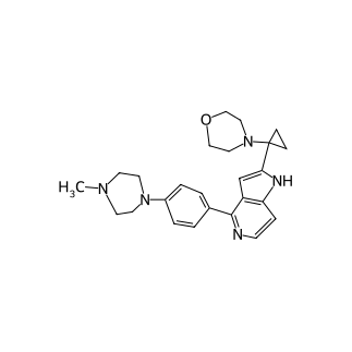 CN1CCN(c2ccc(-c3nccc4[nH]c(C5(N6CCOCC6)CC5)cc34)cc2)CC1